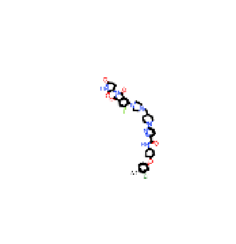 N#Cc1ccc(OC2CCC(NC(=O)c3ccc(N4CCC(CN5CCN(c6cc7c(cc6F)C(=O)N(C6CCC(=O)NC6=O)C7=O)CC5)CC4)nn3)CC2)cc1Cl